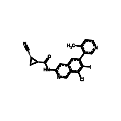 Cc1ccncc1-c1cc2cc(NC(=O)[C@H]3C[C@@H]3C#N)ncc2c(Cl)c1I